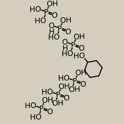 O=P(O)(O)O.O=P(O)(O)O.O=P(O)(O)O.O=P(O)(O)O.O=P(O)(O)O.O=P(O)(O)O.OC1CCCCC1